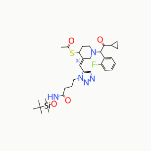 CC(=O)SC1CCN(C(C(=O)C2CC2)c2ccccc2F)C/C1=C\c1cnnn1CCCC(=O)NO[Si](C)(C)C(C)(C)C